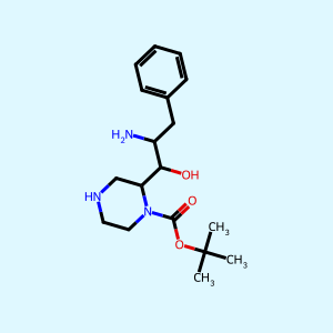 CC(C)(C)OC(=O)N1CCNCC1C(O)C(N)Cc1ccccc1